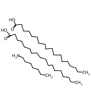 CCCCCCCCCCCCCCCCCC(=O)O.CCCCCCCCCCCCCCCCCC(=O)O.CCCCCCCN